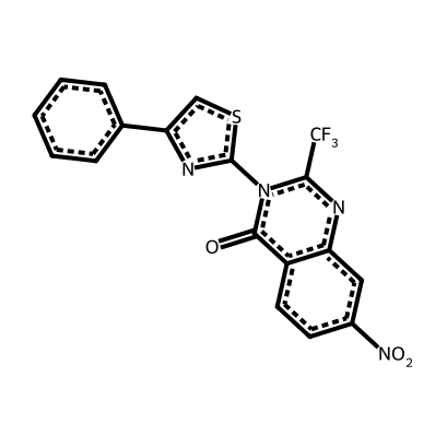 O=c1c2ccc([N+](=O)[O-])cc2nc(C(F)(F)F)n1-c1nc(-c2ccccc2)cs1